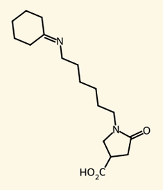 O=C(O)C1CC(=O)N(CCCCCCN=C2CCCCC2)C1